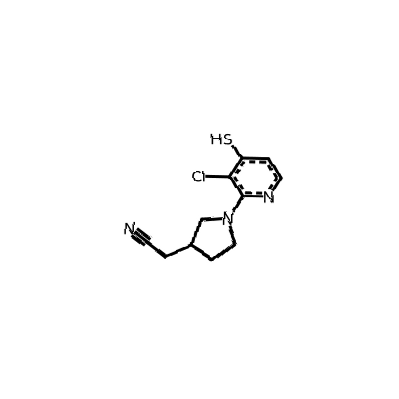 N#CCC1CCN(c2nccc(S)c2Cl)C1